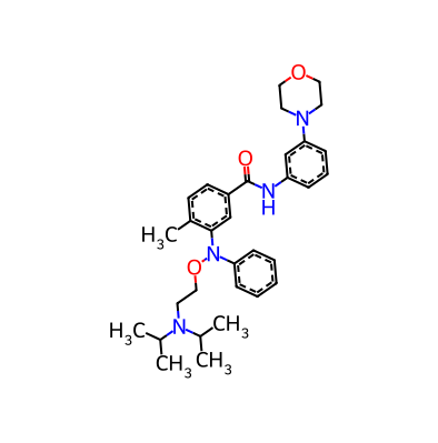 Cc1ccc(C(=O)Nc2cccc(N3CCOCC3)c2)cc1N(OCCN(C(C)C)C(C)C)c1ccccc1